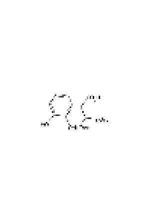 CCCCCCCCCCC(CCCCCCCC)CC(=O)O.Oc1ccccc1O